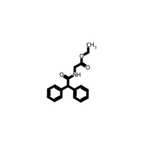 CCOC(=O)CNC(=O)C(c1ccccc1)c1ccccc1